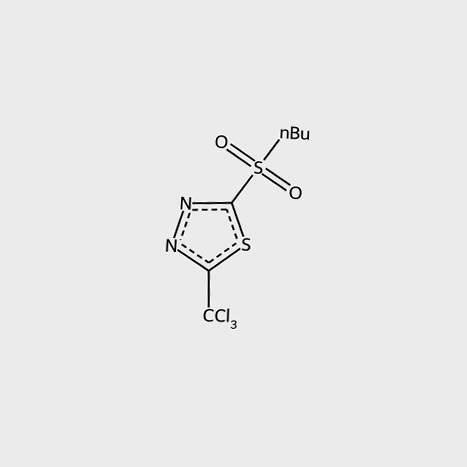 CCCCS(=O)(=O)c1nnc(C(Cl)(Cl)Cl)s1